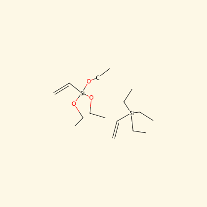 C=C[Si](CC)(CC)CC.C=C[Si](OCC)(OCC)OCC